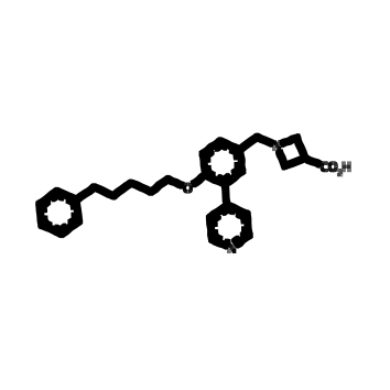 O=C(O)C1CN(Cc2ccc(OCCCCCc3ccccc3)c(-c3ccncc3)c2)C1